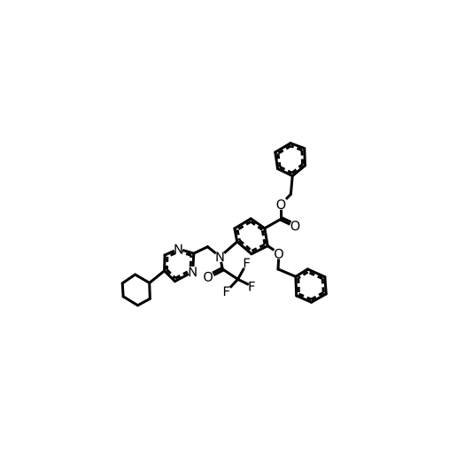 O=C(OCc1ccccc1)c1ccc(N(Cc2ncc(C3CCCCC3)cn2)C(=O)C(F)(F)F)cc1OCc1ccccc1